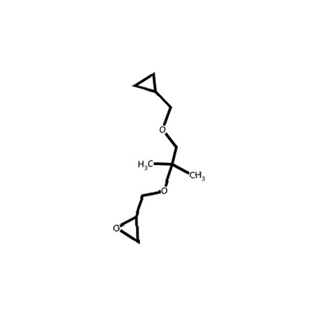 CC(C)(COCC1CC1)OCC1CO1